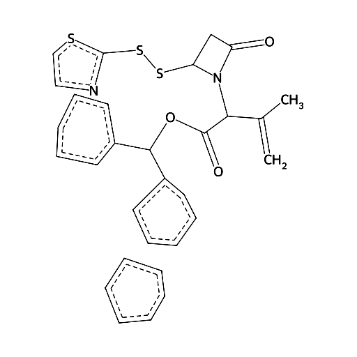 C=C(C)C(C(=O)OC(c1ccccc1)c1ccccc1)N1C(=O)CC1SSc1nccs1.c1ccccc1